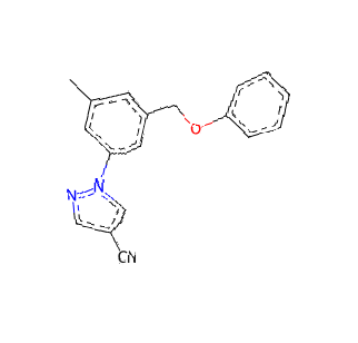 Cc1cc(COc2ccccc2)cc(-n2cc(C#N)cn2)c1